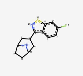 Fc1ccc2c(C3CC4CCC(C3)N4)nsc2c1